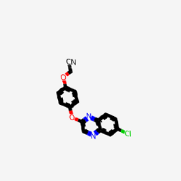 N#CCOc1ccc(Oc2cnc3cc(Cl)ccc3n2)cc1